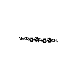 COOSN1CCN(c2cnc(OCC3CCN(c4ccc(C)cn4)CC3)cn2)CC1